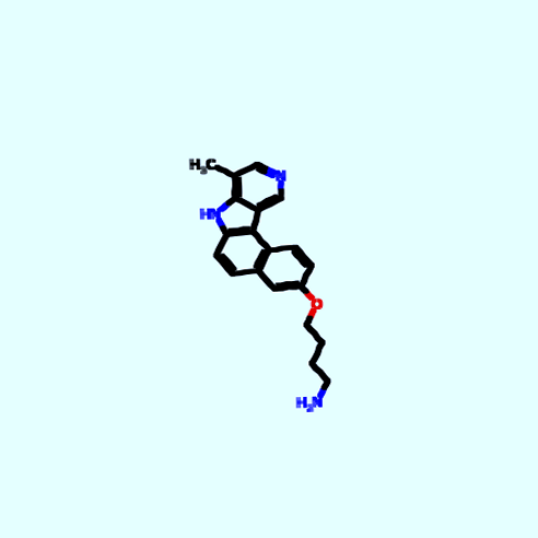 Cc1cncc2c1[nH]c1ccc3cc(OCCCCN)ccc3c12